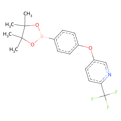 CC1(C)OB(c2ccc(Oc3ccc(C(F)(F)F)nc3)cc2)OC1(C)C